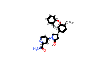 COc1ccc([C@H]2CC(=O)N(c3ccnc(C(N)=O)c3)C2)cc1Oc1ccccc1C#N